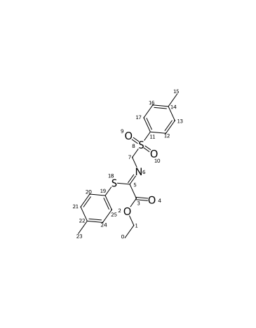 CCOC(=O)/C(=N/CS(=O)(=O)c1ccc(C)cc1)Sc1ccc(C)cc1